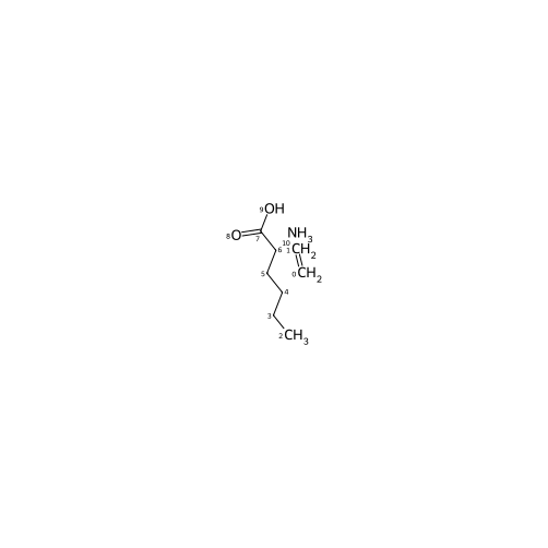 C=C.CCCCCC(=O)O.N